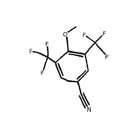 COc1c(C(F)(F)F)cc(C#N)cc1C(F)(F)F